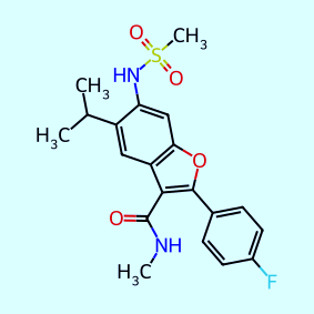 CNC(=O)c1c(-c2ccc(F)cc2)oc2cc(NS(C)(=O)=O)c(C(C)C)cc12